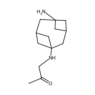 CC(=O)CNC12CC3CC(N)(C3)CC(C1)C2